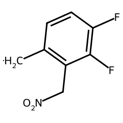 [CH2]c1ccc(F)c(F)c1C[N+](=O)[O-]